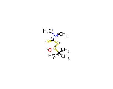 CN(C)C(=S)S[S+]([O-])C(C)(C)C